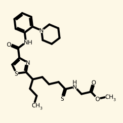 CCCC(CCCC(=S)NCC(=O)OC)c1nc(C(=O)Nc2ccccc2N2CCCCC2)cs1